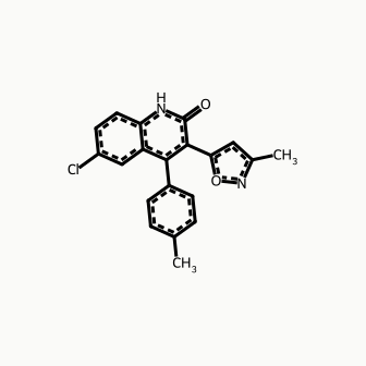 Cc1ccc(-c2c(-c3cc(C)no3)c(=O)[nH]c3ccc(Cl)cc23)cc1